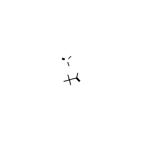 CCC[CH2][Sn](=[O])[CH2]CCC.O=C(O)C(F)(F)F